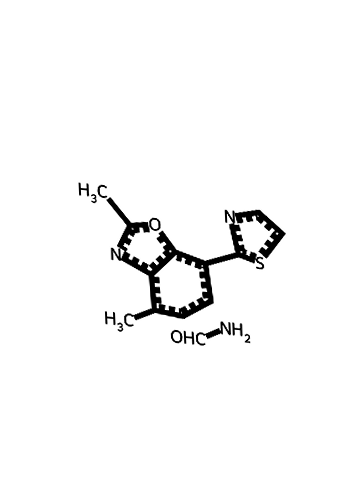 Cc1nc2c(C)ccc(-c3nccs3)c2o1.NC=O